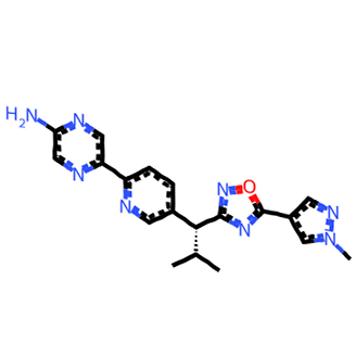 CC(C)[C@H](c1ccc(-c2cnc(N)cn2)nc1)c1noc(-c2cnn(C)c2)n1